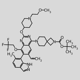 C=Cc1cc2c(N3CCC4(CC3)CN(C(=O)OC(C)(C)C)C4)nc(OC3CCN(CCOC)CC3)nc2c(OCC(F)(F)F)c1-c1c(C)ccc2cn[nH]c12